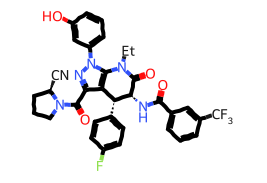 CCN1C(=O)[C@H](NC(=O)c2cccc(C(F)(F)F)c2)[C@H](c2ccc(F)cc2)c2c(C(=O)N3CCC[C@H]3C#N)nn(-c3cccc(O)c3)c21